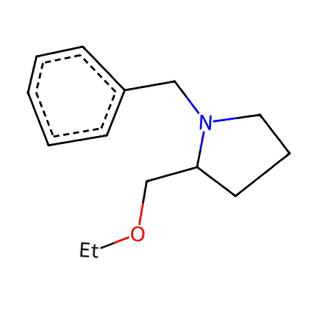 CCOCC1CCCN1Cc1ccccc1